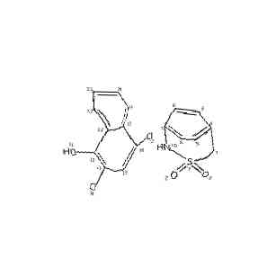 O=S1(=O)Cc2ccc(cc2)N1.Oc1c(Cl)cc(Cl)c2ccccc12